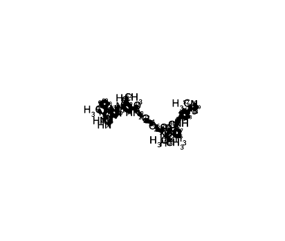 CC[C@@H]1C(=N)N(C=N)c2cnc(Nc3ccc(C(=O)NCCOCCOCCC(=O)N[C@H](C(=O)N4CCC[C@H]4C(=O)NCc4ccc(-c5scnc5C)cc4)C(C)(C)C)cc3OC)nc2N1C1CCCC1